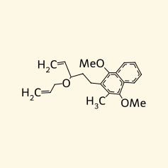 C=CCOC(C=C)CCc1c(C)c(OC)c2ccccc2c1OC